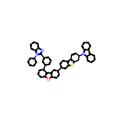 C1=CC(n2c3ccccc3c3ccccc32)Cc2sc3cc(-c4ccc5oc6cccc(-c7cccc(-c8nc9ccccc9n8-c8ccccc8)c7)c6c5c4)ccc3c21